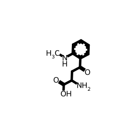 CNc1ccccc1C(=O)CC(N)C(=O)O